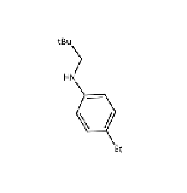 CCc1ccc(NCC(C)(C)C)cc1